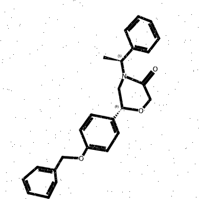 C[C@@H](c1ccccc1)N1C[C@@H](c2ccc(OCc3ccccc3)cc2)OCC1=O